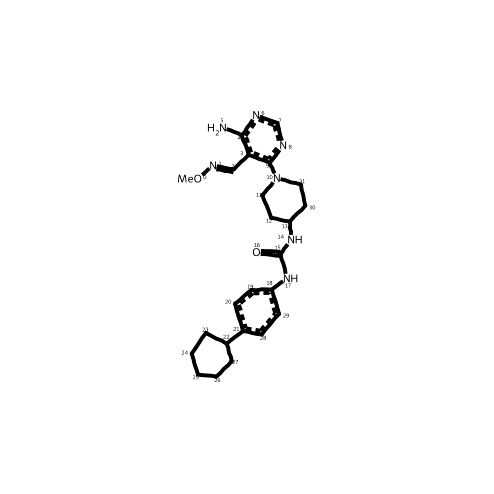 CO/N=C/c1c(N)ncnc1N1CCC(NC(=O)Nc2ccc(C3CCCCC3)cc2)CC1